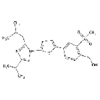 CC(C)Cc1nc(C(C)C)cn1-c1ccc(-c2ccc(CO)c(S(C)(=O)=O)c2)s1